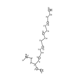 CCOC(CCN(C)C)COCCOCCOCCOCCO